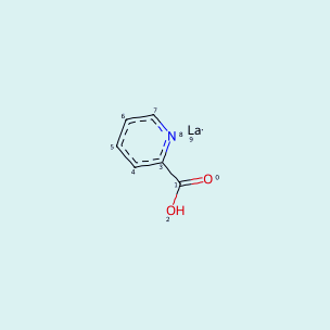 O=C(O)c1ccccn1.[La]